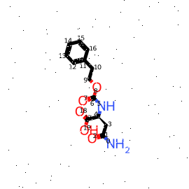 NC(=O)C[C@H](NC(=O)OCCc1ccccc1)C(=O)O